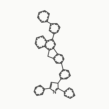 C1=C(c2ccccc2)N=C(c2ccccc2)C1c1cccc(-c2ccc3c(c2)Cc2c-3cc(-c3cccc(-c4ccccc4)c3)c3ccccc23)c1